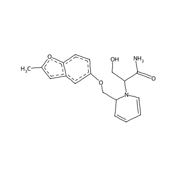 Cc1cc2cc(OCC3C=CC=CN3C(CO)C(N)=O)ccc2o1